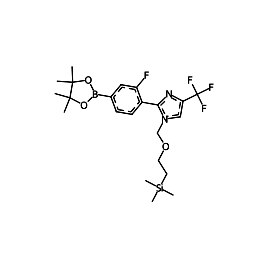 CC1(C)OB(c2ccc(-c3nc(C(F)(F)F)cn3COCC[Si](C)(C)C)c(F)c2)OC1(C)C